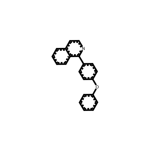 c1ccc(Oc2ccc(-c3nccc4ccccc34)cc2)cc1